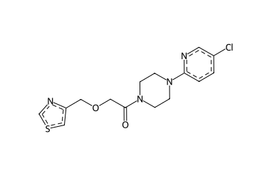 O=C(COCc1cscn1)N1CCN(c2ccc(Cl)cn2)CC1